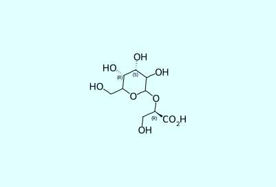 O=C(O)[C@@H](CO)OC1OC(CO)[C@H](O)[C@H](O)C1O